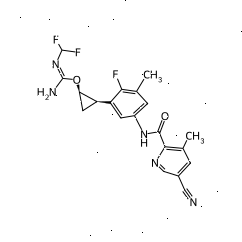 Cc1cc(C#N)cnc1C(=O)Nc1cc(C)c(F)c([C@H]2C[C@H]2O/C(N)=N\C(F)F)c1